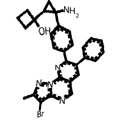 Cc1nn2c(ncc3cc(-c4ccccc4)c(-c4ccc(C5(N)CC5C5(O)CCC5)cc4)nc32)c1Br